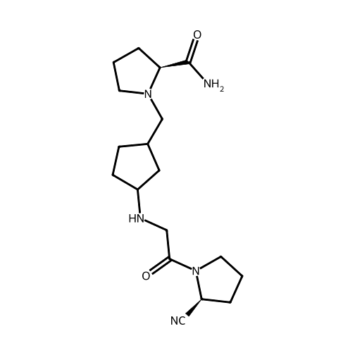 N#C[C@@H]1CCCN1C(=O)CNC1CCC(CN2CCC[C@H]2C(N)=O)C1